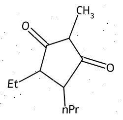 CCCC1C(=O)C(C)C(=O)C1CC